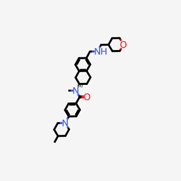 CC1CCN(c2ccc(C(=O)N(C)[C@H]3CCc4cc(CNCC5CCOCC5)ccc4C3)cc2)CC1